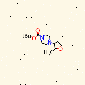 CC1OCCC1N1CCN(C(=O)OC(C)(C)C)CC1